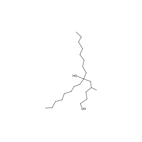 CCCCCCCCC(O)(CCCCCCCC)CC(C)CCCO